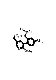 CCN(Cc1cc(C)ccc1-c1cc(CC(=O)O)cnc1OC)C(C)=O